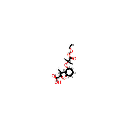 CCOOC(=O)C(C)(C)Oc1cccc2oc(C(=O)O)c(C)c12